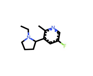 CCN1CCCC1c1cc(F)cnc1C